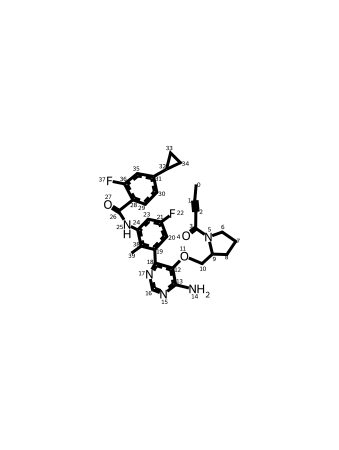 CC#CC(=O)N1CCCC1COc1c(N)ncnc1-c1cc(F)cc(NC(=O)c2ccc(C3CC3)cc2F)c1C